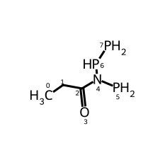 CCC(=O)N(P)PP